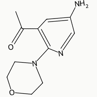 CC(=O)c1cc(N)cnc1N1CCOCC1